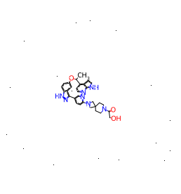 CC(Oc1ccc2[nH]nc(-c3ccc(N4CC5(CCN(C(=O)CO)CC5)C4)nc3)c2c1)c1ccnc2[nH]ccc12